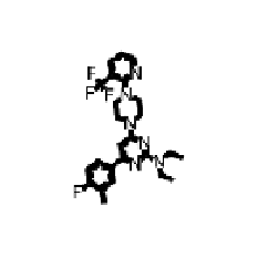 CCN(CC)c1nc(-c2ccc(F)c(C)c2)cc(N2CCN(c3ncccc3C(F)(F)F)CC2)n1